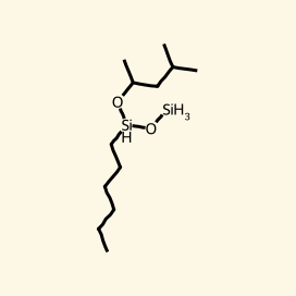 CCCCCC[SiH](O[SiH3])OC(C)CC(C)C